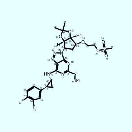 CCCSc1nc(N[C@@H]2C[C@H]2c2ccc(F)c(F)c2)c2nnn([C@H]3C[C@H](OCCOS(C)(=O)=O)[C@H]4OC(C)(C)O[C@H]43)c2n1